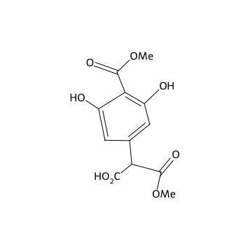 COC(=O)c1c(O)cc(C(C(=O)O)C(=O)OC)cc1O